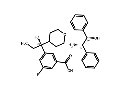 CC[C@@](O)(c1cc(F)cc(C(=O)O)c1)C1CCOCC1.N[C@@H](c1ccccc1)[C@H](O)c1ccccc1